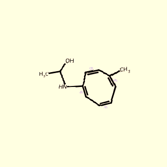 CC1=C/C=C\C=C(NC(C)O)/C=C\1